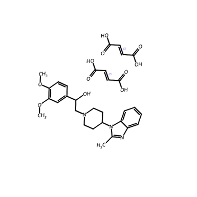 COc1ccc(C(O)CN2CCC(n3c(C)nc4ccccc43)CC2)cc1OC.O=C(O)/C=C/C(=O)O.O=C(O)/C=C/C(=O)O